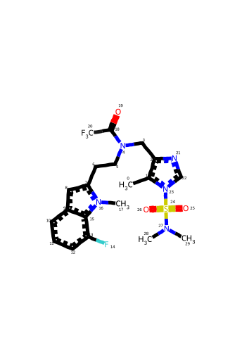 Cc1c(CN(CCc2cc3cccc(F)c3n2C)C(=O)C(F)(F)F)ncn1S(=O)(=O)N(C)C